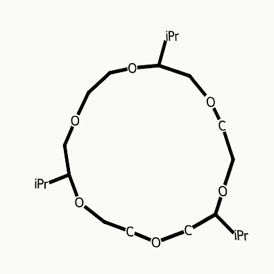 CC(C)C1COCCOC(C(C)C)COCCOC(C(C)C)COCCO1